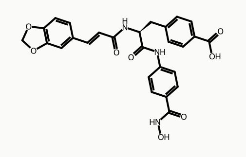 O=C(/C=C/c1ccc2c(c1)OCO2)N[C@@H](Cc1ccc(C(=O)O)cc1)C(=O)Nc1ccc(C(=O)NO)cc1